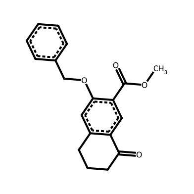 COC(=O)c1cc2c(cc1OCc1ccccc1)CCCC2=O